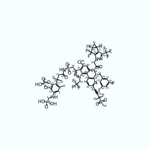 Cc1cc(NCP(=O)(O)O)cc(OP(=O)(O)O)c1C(C)(C)CC(=O)NS(=O)(=O)Cc1nn(CC(F)(F)F)c2c(-c3ccc(C#CC(C)(C)S(C)(=O)=O)nc3[C@H](Cc3cc(F)cc(F)c3)NC(=O)Cn3nc(C(F)(F)F)c4c3C(F)(F)[C@@H]3C[C@H]43)ccc(Cl)c12